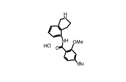 COc1cc(C(C)(C)C)ccc1C(=O)Nc1cccc2c1CCNC2.Cl